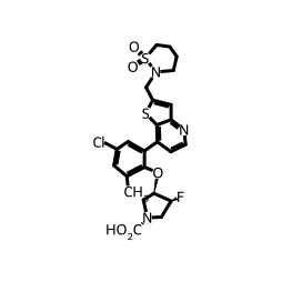 Cc1cc(Cl)cc(-c2ccnc3cc(CN4CCCCS4(=O)=O)sc23)c1O[C@@H]1CN(C(=O)O)C[C@@H]1F